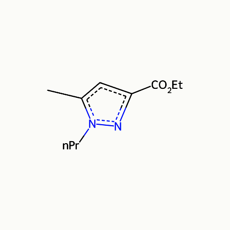 CCCn1nc(C(=O)OCC)cc1C